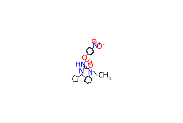 CCCN1C(=O)[C@@H](NC(=O)Oc2ccc([N+](=O)[O-])cc2)N=C(C2CCCC2)c2ccccc21